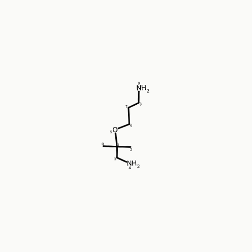 CC(C)(CN)OCCCN